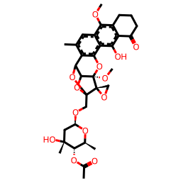 COc1c2c(c(O)c3c4c(c(C)cc13)C1OC3(CO[C@@H]5C[C@@](C)(O)[C@@H](OC(C)=O)[C@H](C)O5)OC1[C@@](OC)(O4)[C@@]31CO1)C(=O)CCC2